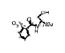 CC(C)(C)C(CO)NC(=O)c1ccccc1[N+](=O)[O-]